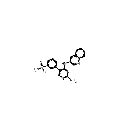 Nc1ncc(-c2cccc(S(N)(=O)=O)c2)c(Nc2cnc3ccccc3c2)n1